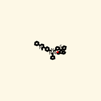 Cc1nc(-c2ccccc2)ccc1-c1ccc(-c2nc(-c3ccccc3)nc(-c3ccc4c(c3)C3(c5ccccc5S4)c4ccccc4-c4ccccc43)n2)cc1